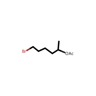 CC(=O)OC(C)CCCCBr